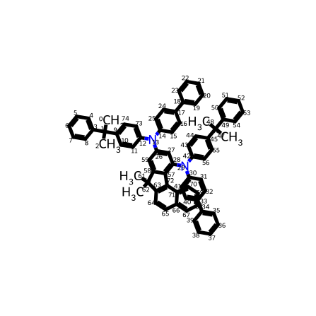 CC(C)(c1ccccc1)c1ccc(N(c2ccc(-c3ccccc3)cc2)c2cc(N(c3ccc(-c4ccccc4)cc3)c3ccc(C(C)(C)c4ccccc4)cc3)c3c(c2)C(C)(C)c2ccc4ccccc4c2-3)cc1